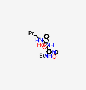 CCNc1cc(C(=O)N[C@@H](Cc2ccccc2)[C@@H](O)CNCCCCC(C)C)cc(N2CCCC2=O)c1